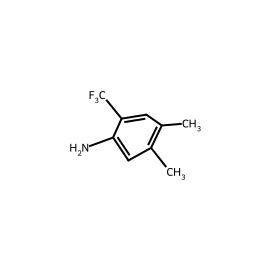 Cc1cc(N)c(C(F)(F)F)cc1C